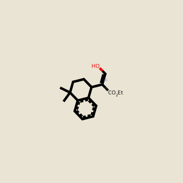 CCOC(=O)/C(=C/O)C1CCC(C)(C)c2ccccc21